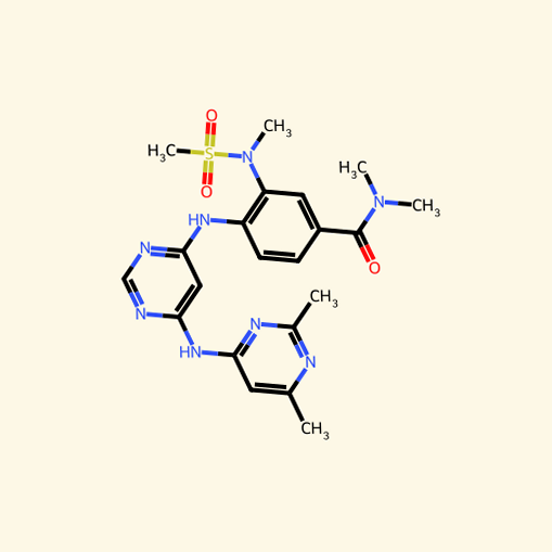 Cc1cc(Nc2cc(Nc3ccc(C(=O)N(C)C)cc3N(C)S(C)(=O)=O)ncn2)nc(C)n1